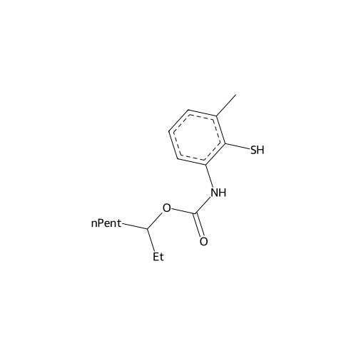 CCCCCC(CC)OC(=O)Nc1cccc(C)c1S